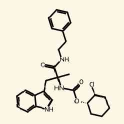 CC(Cc1c[nH]c2ccccc12)(NC(=O)O[C@H]1CCCC[C@@H]1Cl)C(=O)NCCc1ccccc1